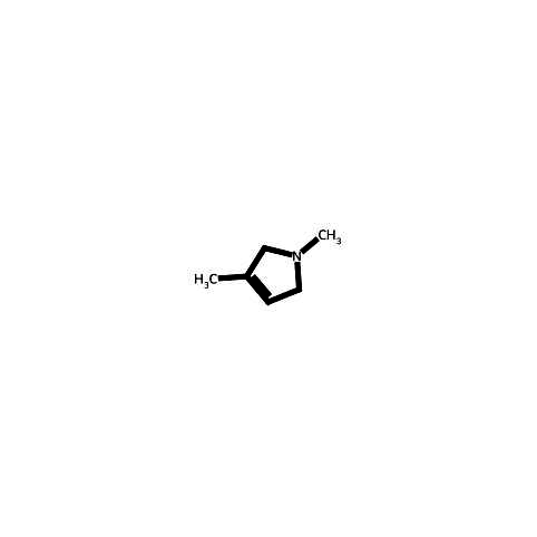 CC1=[C]CN(C)C1